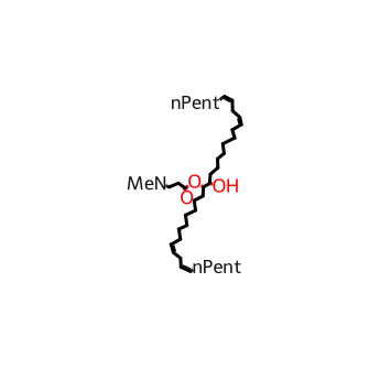 CCCCC/C=C\C/C=C\CCCCCCCC(O)C(CCCCCCC/C=C\C/C=C\CCCCC)OC(=O)CCNC